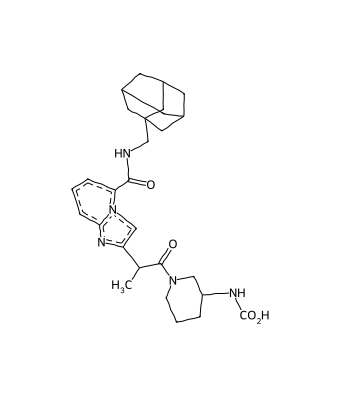 CC(C(=O)N1CCCC(NC(=O)O)C1)c1cn2c(C(=O)NCC34CC5CC(CC(C5)C3)C4)cccc2n1